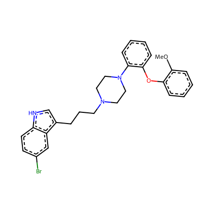 COc1ccccc1Oc1ccccc1N1CCN(CCCc2c[nH]c3ccc(Br)cc23)CC1